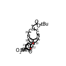 CC(C)(C)OC(=O)CN1CCN2CCN(CC(=O)OC(C)(C)C)CCN(CC1)CC(Cc1ccc([N+](=O)[O-])cc1)C2